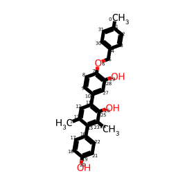 Cc1ccc(COc2ccc(-c3cc(C)c(-c4ccc(O)cc4)c(C)c3O)cc2O)cc1